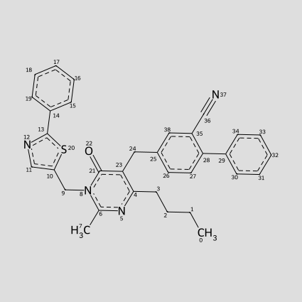 CCCCc1nc(C)n(Cc2cnc(-c3ccccc3)s2)c(=O)c1Cc1ccc(-c2ccccc2)c(C#N)c1